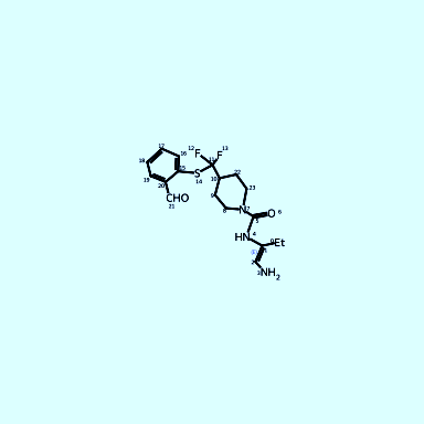 CC/C(=C\N)NC(=O)N1CCC(C(F)(F)Sc2ccccc2C=O)CC1